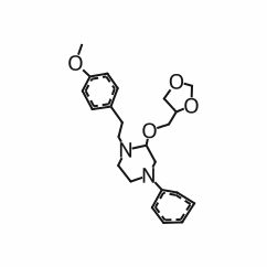 COc1ccc(CCN2CCN(c3ccccc3)CC2OCC2COCO2)cc1